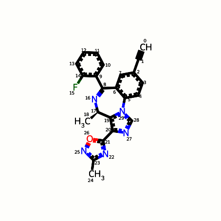 C#Cc1ccc2c(c1)C(c1ccccc1F)=N[C@H](C)c1c(-c3nc(C)no3)ncn1-2